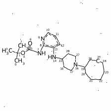 CC(C)(C)OC(=O)Nc1ncccc1NC1CCN(C2CCCCCCC2)CC1